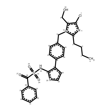 CCCCc1nc(Cl)c(CO)n1Cc1ccc(-c2ccsc2NS(=O)(=O)C(=O)c2ccccc2)cc1